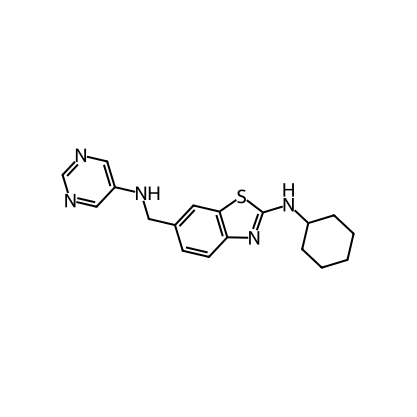 c1ncc(NCc2ccc3nc(NC4CCCCC4)sc3c2)cn1